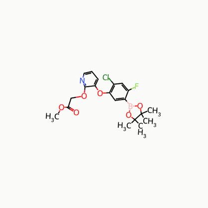 COC(=O)COc1ncccc1Oc1cc(B2OC(C)(C)C(C)(C)O2)c(F)cc1Cl